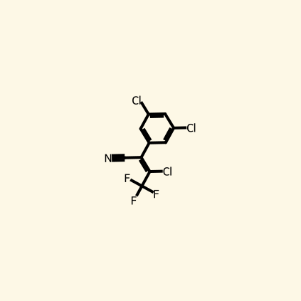 N#CC(=C(Cl)C(F)(F)F)c1cc(Cl)cc(Cl)c1